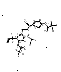 C=CC(C)(C)c1cc(/C=C/C(=O)c2ccc(OC(=O)C(C)(C)C)cc2)c(OC(C)C)cc1OC(=O)C(C)(C)C